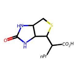 CCCC(C(=O)O)C1SCC2NC(=O)NC21